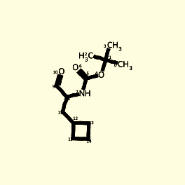 CC(C)(C)OC(=O)NC(C=O)CC1CCC1